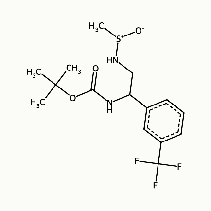 C[S+]([O-])NCC(NC(=O)OC(C)(C)C)c1cccc(C(F)(F)F)c1